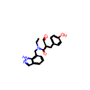 CCN(Cc1cccc2cn[nH]c12)C(=O)C(C=O)Cc1ccc(O)cc1